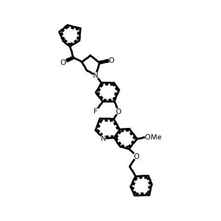 COc1cc2c(Oc3ccc(N4CC(C(=O)c5ccccc5)CC4=O)cc3F)ccnc2cc1OCc1ccccc1